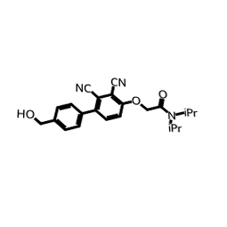 CC(C)N(C(=O)COc1ccc(-c2ccc(CO)cc2)c(C#N)c1C#N)C(C)C